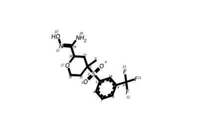 CC1(S(=O)(=O)c2cccc(C(F)(F)F)c2)CCOC(/C(N)=N/O)C1